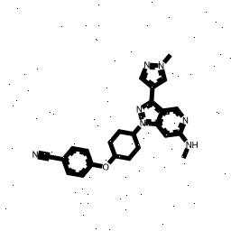 CNc1cc2c(cn1)c(-c1cnn(C)c1)nn2C1CCC(Oc2ccc(C#N)cc2)CC1